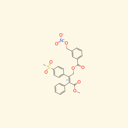 COC(=O)/C(=C(\COC(=O)c1cccc(CO[N+](=O)[O-])c1)c1ccc(S(C)(=O)=O)cc1)c1ccccc1